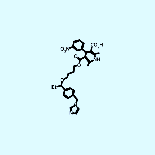 CCC(OCCCCOC(=O)C1=C(C)NC(C)=C(C(=O)O)C1c1cccc([N+](=O)[O-])c1)c1ccc(Cn2ccnc2)cc1